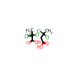 CC(Cl)(Cl)C(=O)O.CC(Cl)(Cl)CC(=O)O